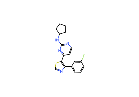 Fc1cccc(-c2ncsc2-c2ccnc(NC3CCCC3)n2)c1